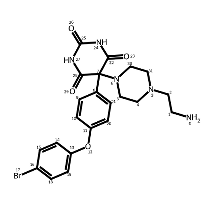 NCCN1CCN(C2(c3ccc(Oc4ccc(Br)cc4)cc3)C(=O)NC(=O)NC2=O)CC1